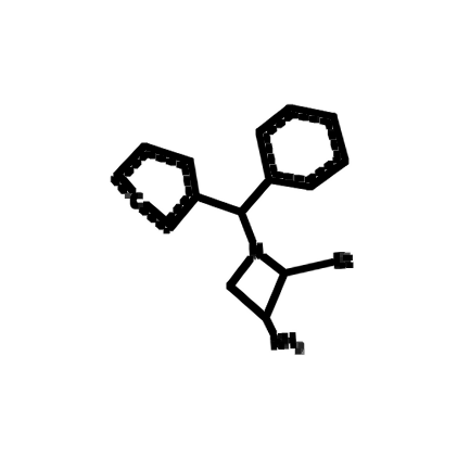 CCC1C(N)CN1C(c1ccccc1)c1ccccc1